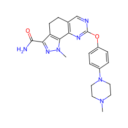 CN1CCN(c2ccc(Oc3ncc4c(n3)-c3c(c(C(N)=O)nn3C)CC4)cc2)CC1